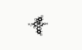 NC1CNC2(S(=O)(=O)c3ccc(Cl)cc3Cl)CN(CCO)C(=O)C(Cc3ccc(Cl)cc3)N2C1=O